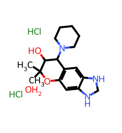 CC1(C)Oc2cc3c(cc2C(N2CCCCC2)C1O)NCN3.Cl.Cl.O